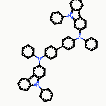 c1ccc(N(c2ccc(-c3ccc(N(c4ccccc4)c4ccc5c6ccccc6n(-c6ccccc6)c5c4)cc3)cc2)c2ccc3c(c2)c2ccccc2n3-c2ccccc2)cc1